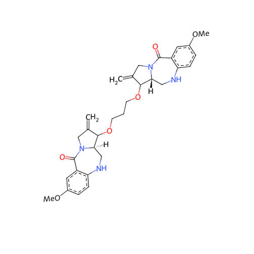 C=C1CN2C(=O)c3cc(OC)ccc3NC[C@@H]2C1OCCCOC1C(=C)CN2C(=O)c3cc(OC)ccc3NC[C@H]12